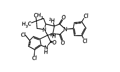 [2H]C12C(=O)N(c3cc(Cl)cc(Cl)c3)C(=O)C1([2H])C1(C(=O)Nc3c(Cl)cc(Cl)cc31)N1CC(C)(C)CC12